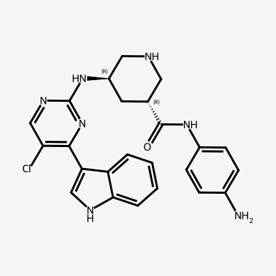 Nc1ccc(NC(=O)[C@H]2CNC[C@H](Nc3ncc(Cl)c(-c4c[nH]c5ccccc45)n3)C2)cc1